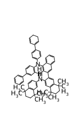 CC1(C)CCC(C)(C)c2cc(Nc3cc4c(cc3-c3cc5ccccc5c5c3Bc3cc(-c6ccccc6)ccc3N5c3ccc(C5=CCCC=C5)cc3)C(C)(C)CCC4(C)C)ccc21